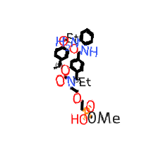 CCOc1ccc([C@H](C)OC(=O)N(CCOCCP(=O)(O)OC)[C@@H](CC)c2ccc(C(=O)Nc3ccccc3N)cc2)cc1